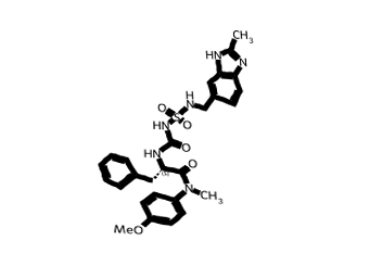 COc1ccc(N(C)C(=O)[C@H](Cc2ccccc2)NC(=O)NS(=O)(=O)NCc2ccc3nc(C)[nH]c3c2)cc1